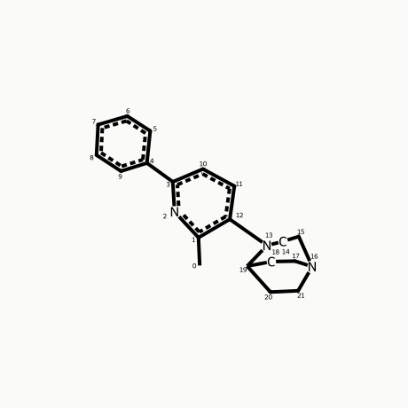 Cc1nc(-c2ccccc2)ccc1N1CCN2CCC1CC2